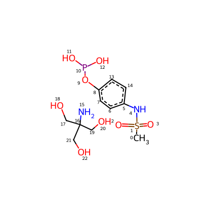 CS(=O)(=O)Nc1ccc(OP(O)O)cc1.NC(CO)(CO)CO